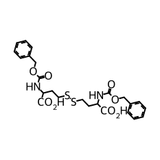 O=C(NC(CCSSCCC(NC(=O)OCc1ccccc1)C(=O)O)C(=O)O)OCc1ccccc1